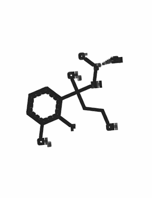 Cc1cccc(C(C)(CCO)N[S@+]([O-])C(C)(C)C)c1F